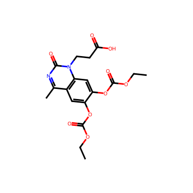 CCOC(=O)Oc1cc2c(C)nc(=O)n(CCC(=O)O)c2cc1OC(=O)OCC